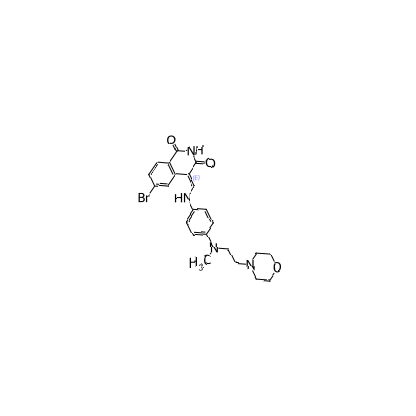 CN(CCN1CCOCC1)c1ccc(N/C=C2/C(=O)NC(=O)c3ccc(Br)cc32)cc1